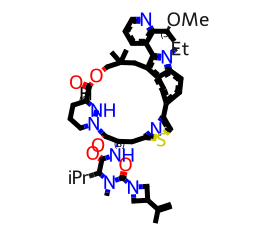 C=C(C)C1CN(C(=O)N(C)C(C(=O)N[C@H]2Cc3nc(cs3)-c3ccc4c(c3)c(c(-c3cccnc3[C@H](C)OC)n4CC)CC(C)(C)COC(=O)[C@@H]3CCCN(N3)C2=O)C(C)C)C1